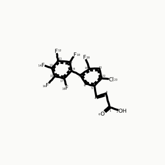 O=C(O)/C=C/c1cc(-c2c(F)c(F)c(F)c(F)c2F)c(F)cc1Cl